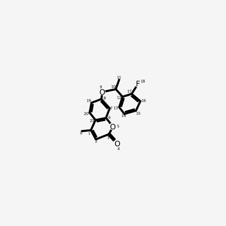 Cc1cc(=O)oc2cc(OC(C)c3ccccc3F)ccc12